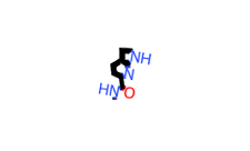 CNC(=O)c1ccc2cc[nH]c2n1